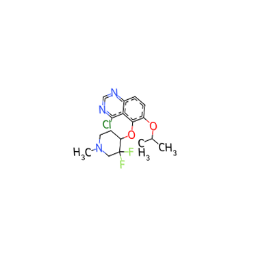 CC(C)Oc1ccc2ncnc(Cl)c2c1OC1CCN(C)CC1(F)F